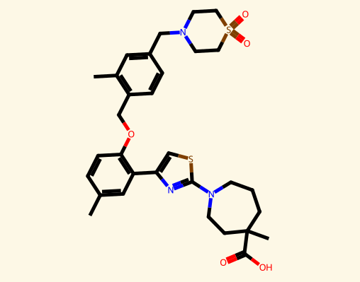 Cc1ccc(OCc2ccc(CN3CCS(=O)(=O)CC3)cc2C)c(-c2csc(N3CCCC(C)(C(=O)O)CC3)n2)c1